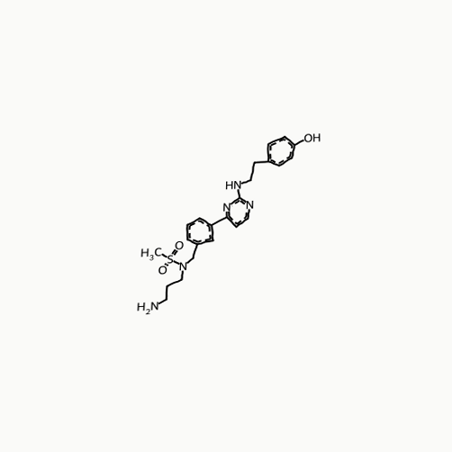 CS(=O)(=O)N(CCCN)Cc1cccc(-c2ccnc(NCCc3ccc(O)cc3)n2)c1